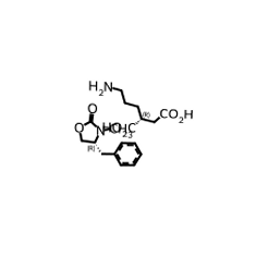 CN1C(=O)OC[C@H]1Cc1ccccc1.NCCC[C@H](CC(=O)O)C(=O)O